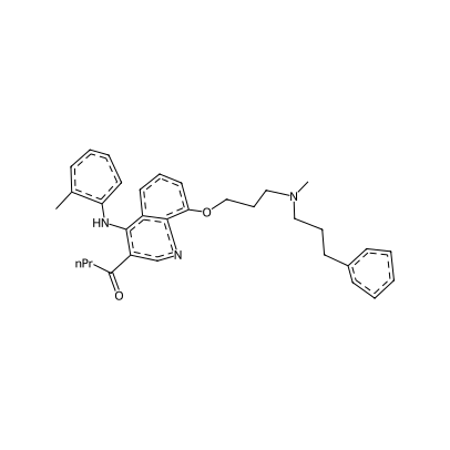 CCCC(=O)c1cnc2c(OCCCN(C)CCCc3ccccc3)cccc2c1Nc1ccccc1C